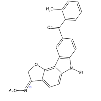 CCn1c2ccc(C(=O)c3ccccc3C)cc2c2c3c(ccc21)/C(=N/OC(C)=O)CO3